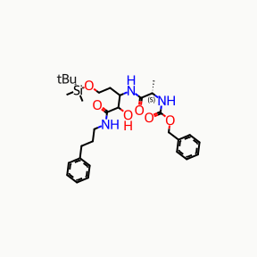 C[C@H](NC(=O)OCc1ccccc1)C(=O)NC(CCO[Si](C)(C)C(C)(C)C)C(O)C(=O)NCCCc1ccccc1